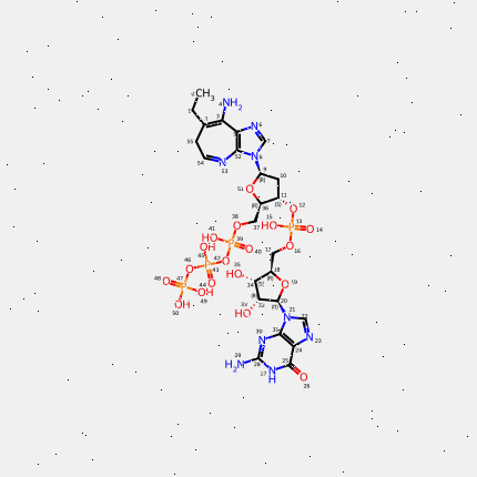 CCC1=C(N)c2ncn([C@H]3C[C@H](OP(=O)(O)OC[C@H]4O[C@@H](n5cnc6c(=O)[nH]c(N)nc65)[C@H](O)[C@@H]4O)[C@@H](COP(=O)(O)OP(=O)(O)OP(=O)(O)O)O3)c2N=CC1